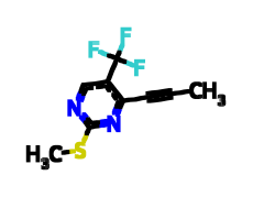 CC#Cc1nc(SC)ncc1C(F)(F)F